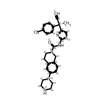 C#C[C@](C)(c1ccc(Cl)cc1)c1csc(NC(=O)N2CCc3cc(N4CCNCC4)ccc3C2)n1